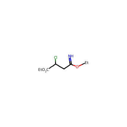 CCOC(=N)CC(Cl)C(=O)OCC